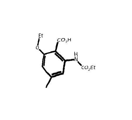 CCOC(=O)Nc1cc(C)cc(OCC)c1C(=O)O